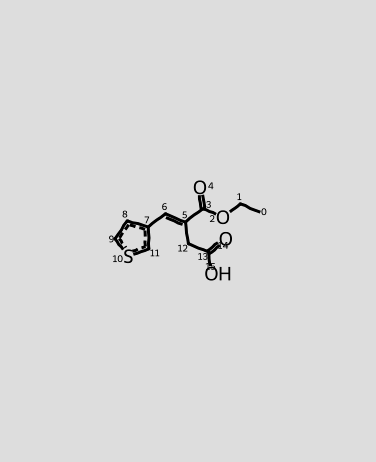 CCOC(=O)/C(=C/c1ccsc1)CC(=O)O